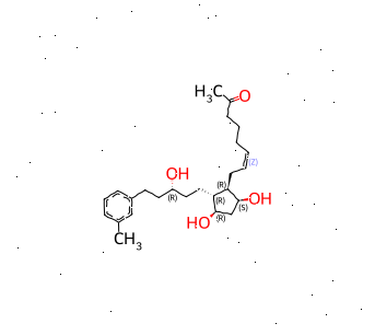 CC(=O)CCC/C=C\C[C@@H]1[C@@H](CC[C@@H](O)CCc2cccc(C)c2)[C@H](O)C[C@@H]1O